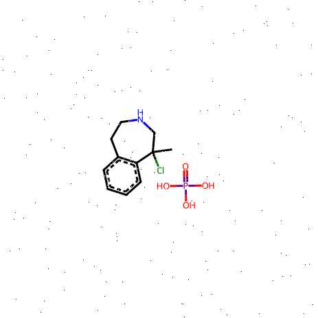 CC1(Cl)CNCCc2ccccc21.O=P(O)(O)O